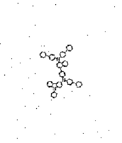 c1ccc(-c2ccc(N(c3ccc(-c4ccc(N(c5ccc(-c6ccccc6)cc5)c5ccc(-c6ccccc6)cc5)c5ccccc45)cc3)c3ccc4c(c3)c3ccccc3n4-c3ccccc3)cc2)cc1